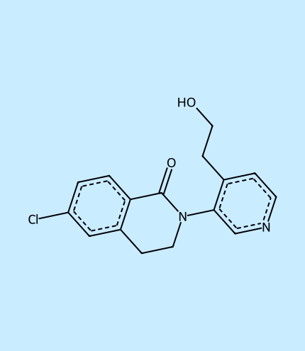 O=C1c2ccc(Cl)cc2CCN1c1cnccc1CCO